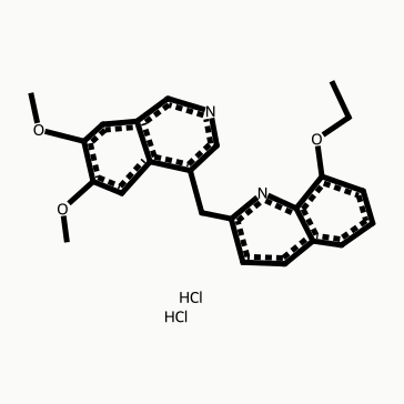 CCOc1cccc2ccc(Cc3cncc4cc(OC)c(OC)cc34)nc12.Cl.Cl